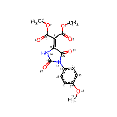 COC(=O)C(C(=O)OC)=C1NC(=O)N(c2ccc(OC)cc2)C1=O